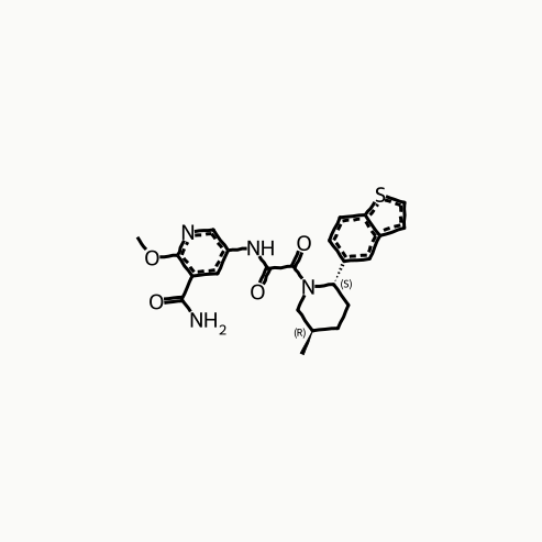 COc1ncc(NC(=O)C(=O)N2C[C@H](C)CC[C@H]2c2ccc3sccc3c2)cc1C(N)=O